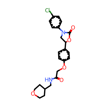 O=C(COc1ccc(C2CN(c3ccc(Cl)cc3)C(=O)O2)cc1)NCC1CCOCC1